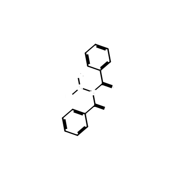 CC(C)(C)N(C#N)N(C(=O)c1ccccc1)C(=O)c1ccccc1